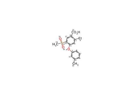 CCc1cc(Oc2cccc(C)c2)c(S(C)(=O)=O)cc1C(=O)O